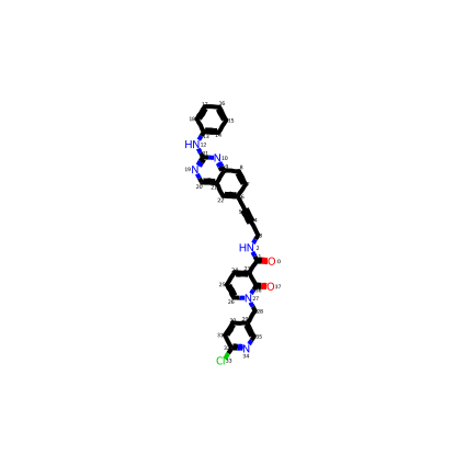 O=C(NCC#Cc1ccc2nc(Nc3ccccc3)ncc2c1)c1cccn(Cc2ccc(Cl)nc2)c1=O